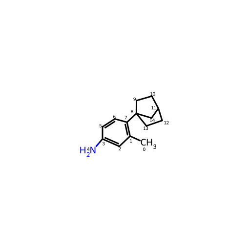 Cc1cc(N)ccc1C12CCC(CC1)C2